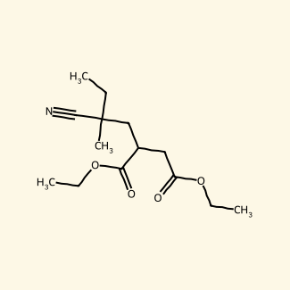 CCOC(=O)CC(CC(C)(C#N)CC)C(=O)OCC